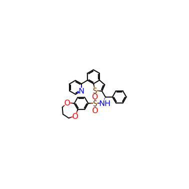 O=S(=O)(N[C@@H](c1ccccc1)c1cc2cccc(-c3ccccn3)c2s1)c1ccc2c(c1)OCCCO2